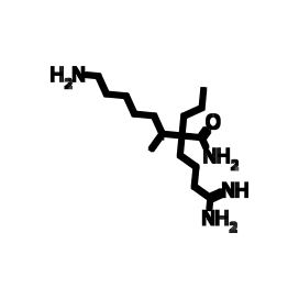 CCCC(CCCC(=N)N)([C](C)CCCCCN)C(N)=O